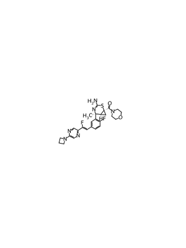 C[C@]1(c2cc(C=C(F)c3cnc(N4CCC4)cn3)ccc2F)N=C(N)S[C@@]2(C(=O)N3CCOCC3)C[C@H]21